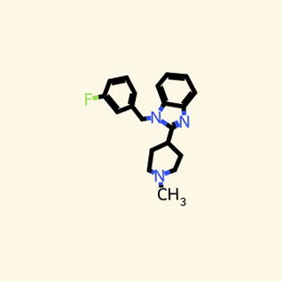 CN1CCC(c2nc3ccccc3n2Cc2cccc(F)c2)CC1